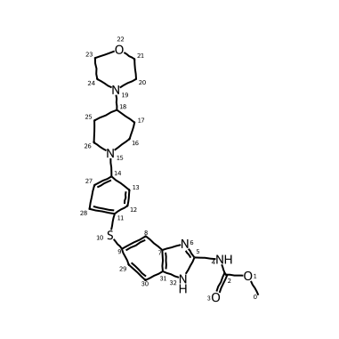 COC(=O)Nc1nc2cc(Sc3ccc(N4CCC(N5CCOCC5)CC4)cc3)ccc2[nH]1